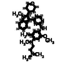 COc1cc(N(C)CCN(C)C)c(N)cc1Nc1ncnc(-c2c(C3CCOCC3)n(C)c3ccccc23)n1